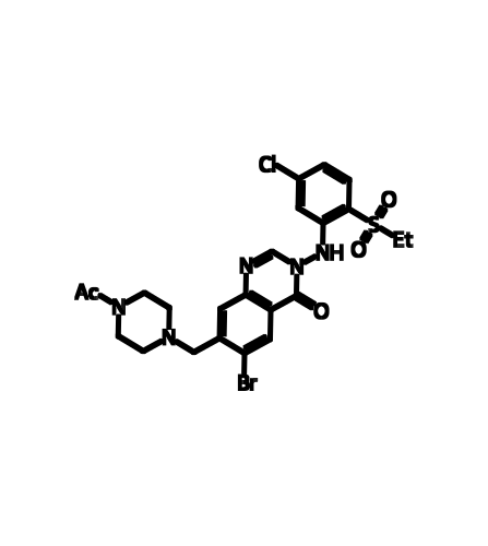 CCS(=O)(=O)c1ccc(Cl)cc1Nn1cnc2cc(CN3CCN(C(C)=O)CC3)c(Br)cc2c1=O